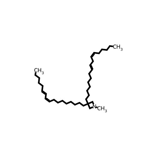 CCCCC/C=C\C/C=C/CCCCCCCC1(CCCCCCCC/C=C\C=C\CCCCC)CN(C)C1